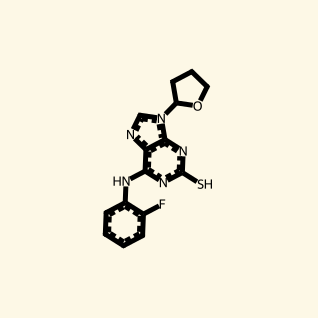 Fc1ccccc1Nc1nc(S)nc2c1ncn2C1CCCO1